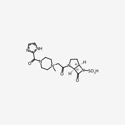 C[N+]1(CC(=O)N2CC[C@@H]3[C@H]2C(=O)N3S(=O)(=O)O)CCN(C(=O)c2ncc[nH]2)CC1